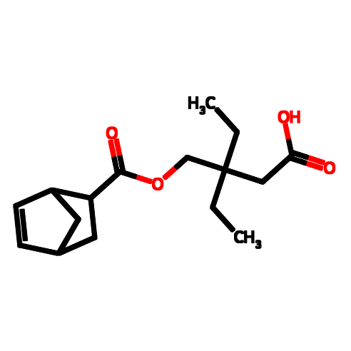 CCC(CC)(COC(=O)C1CC2C=CC1C2)CC(=O)O